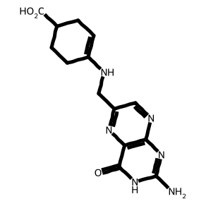 Nc1nc2ncc(CNC3=CCC(C(=O)O)CC3)nc2c(=O)[nH]1